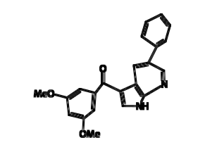 COc1cc(OC)cc(C(=O)c2c[nH]c3ncc(-c4ccccc4)cc23)c1